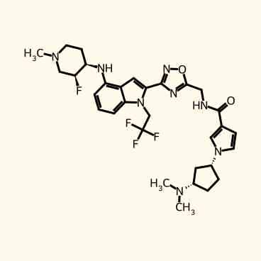 CN1CC[C@@H](Nc2cccc3c2cc(-c2noc(CNC(=O)c4ccn([C@@H]5CC[C@H](N(C)C)C5)c4)n2)n3CC(F)(F)F)[C@@H](F)C1